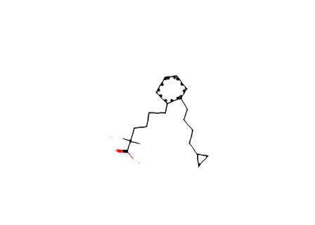 CC(C)(CCCCc1ccccc1CCCCC1CC1)C(=O)O